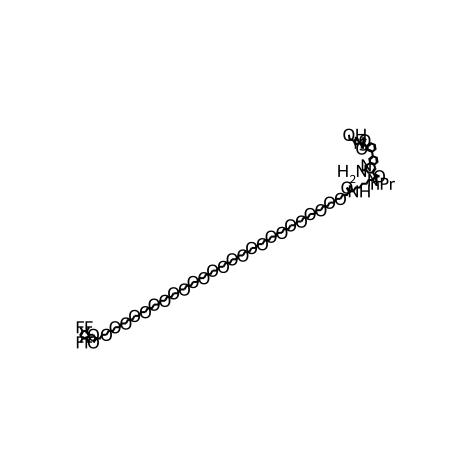 CCCN(CCCCCNC(=O)CCOCCOCCOCCOCCOCCOCCOCCOCCOCCOCCOCCOCCOCCOCCOCCOCCOCCOCCOCCOCCOCCOCCOCCOCCOCCC(=O)Oc1c(F)c(F)cc(F)c1F)C(=O)C1=Cc2ccc(-c3cccc(S(=O)(=O)N4CC(CO)C4)c3)cc2N=C(N)C1